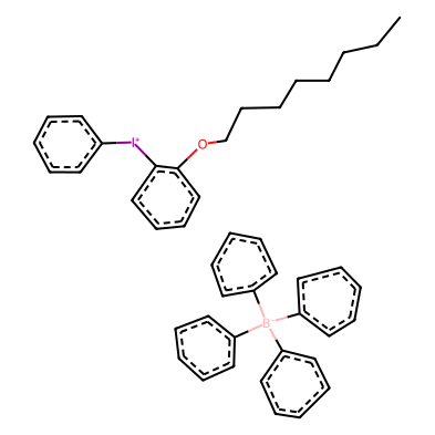 CCCCCCCCOc1ccccc1[I+]c1ccccc1.c1ccc([B-](c2ccccc2)(c2ccccc2)c2ccccc2)cc1